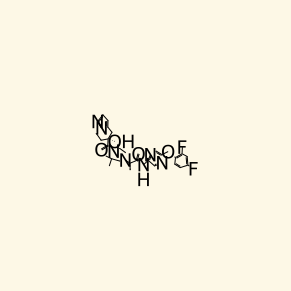 C[C@H](C(=O)Nc1cnc(Oc2ccc(F)cc2F)cn1)N1CCN(C(=O)[C@@]2(O)CCn3nccc3C2)C(C)(C)C1